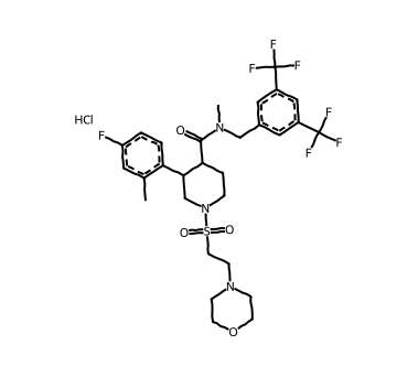 Cc1cc(F)ccc1C1CN(S(=O)(=O)CCN2CCOCC2)CCC1C(=O)N(C)Cc1cc(C(F)(F)F)cc(C(F)(F)F)c1.Cl